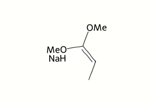 CC=C(OC)OC.[NaH]